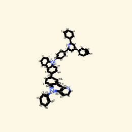 c1ccc(-c2cc(-c3ccccc3)nc(-c3ccc(-n4c5ccccc5c5cc(-c6ccc7c(c6)c6ncccc6n7-c6ccccc6)ccc54)cc3)c2)cc1